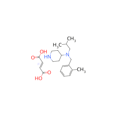 Cc1ccccc1CN(CC(C)C)C1CCNCC1.O=C(O)/C=C/C(=O)O